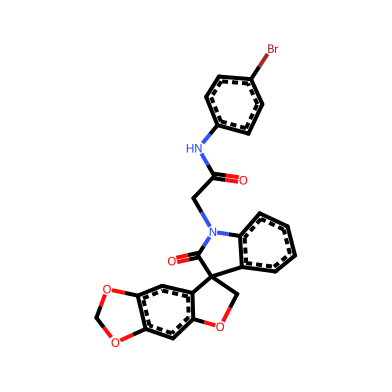 O=C(CN1C(=O)C2(COc3cc4c(cc32)OCO4)c2ccccc21)Nc1ccc(Br)cc1